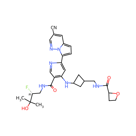 CC(C)(O)[C@H](F)CNC(=O)c1cnc(-c2ccc3cc(C#N)cnn23)cc1NC1CC(CNC(=O)C2CCO2)C1